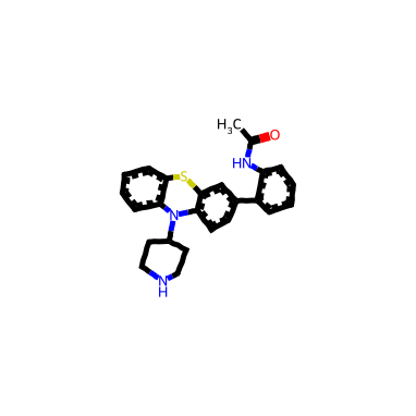 CC(=O)Nc1ccccc1-c1ccc2c(c1)Sc1ccccc1N2C1CCNCC1